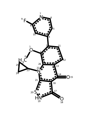 COc1c(-c2ccnc(F)c2)ccc2c(=O)c3c(=O)[nH]sc3n(C3CC3)c12